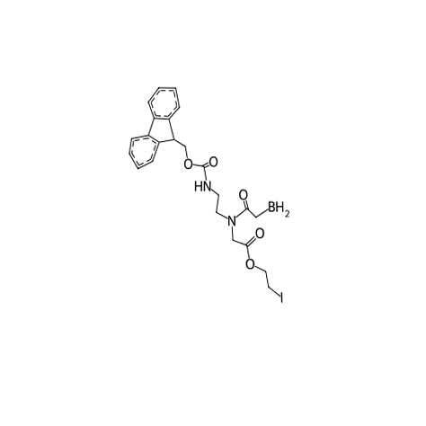 BCC(=O)N(CCNC(=O)OCC1c2ccccc2-c2ccccc21)CC(=O)OCCI